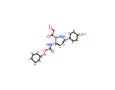 O=CC(=O)C1NC(c2ccc(F)cc2)=CC=C1NC(=O)OCc1ccccc1